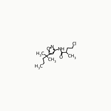 CCCC(C)(C)c1cc(NC(=O)C(C)CCCl)no1